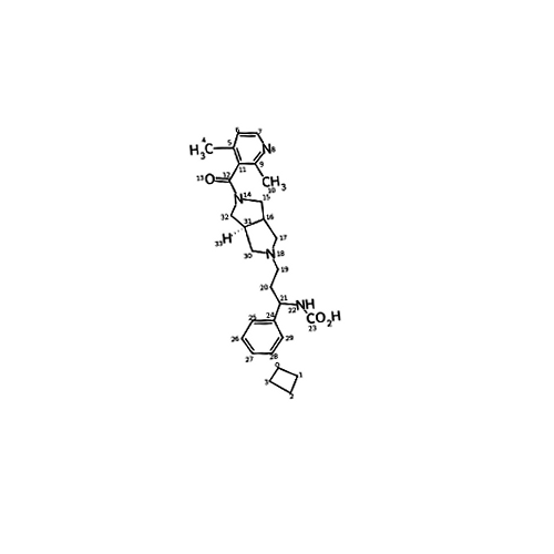 C1CCC1.Cc1ccnc(C)c1C(=O)N1CC2CN(CCC(NC(=O)O)c3ccccc3)C[C@H]2C1